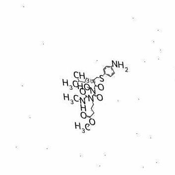 CNC(=O)N(CCCC(=O)OC)C(=O)N(O)C(=O)[C@H](CCC(C)C)CSc1ccc(N)cc1